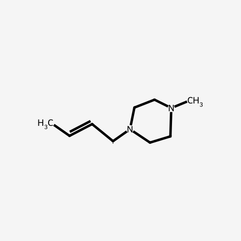 C/C=C/[CH]N1CCN(C)CC1